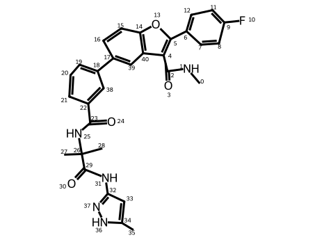 CNC(=O)c1c(-c2ccc(F)cc2)oc2ccc(-c3cccc(C(=O)NC(C)(C)C(=O)Nc4cc(C)[nH]n4)c3)cc12